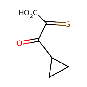 O=C(O)C(=S)C(=O)C1CC1